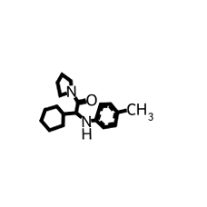 Cc1ccc(NC(C(=O)N2CCCC2)C2CCCCC2)cc1